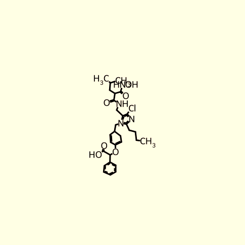 CCCCc1nc(Cl)c(CNC(=O)C(CC(C)C)C(=O)NO)n1CC1C=CC(OC(C(=O)O)c2ccccc2)=CC1